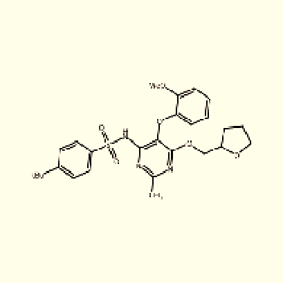 COc1ccccc1Oc1c(NS(=O)(=O)c2ccc(C(C)(C)C)cc2)nc(C)nc1OCC1CCCO1